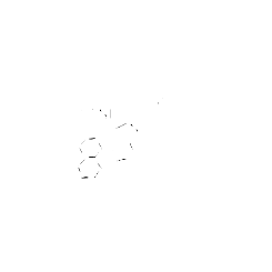 COCCCN1C=C(CNC2CC2)C2C1=CC=CC2c1cccc2ccccc12